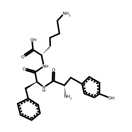 NCCCC[C@H](NC(=O)[C@H](Cc1ccccc1)NC(=O)[C@@H](N)Cc1ccc(O)cc1)C(=O)O